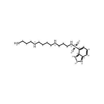 NCCCNCCCCNCCCNS(=O)(=O)c1cccc2nsnc12